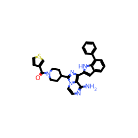 Nc1nccn2c(C3CCN(C(=O)c4ccsc4)CC3)nc(-c3cc4cccc(-c5ccccc5)c4[nH]3)c12